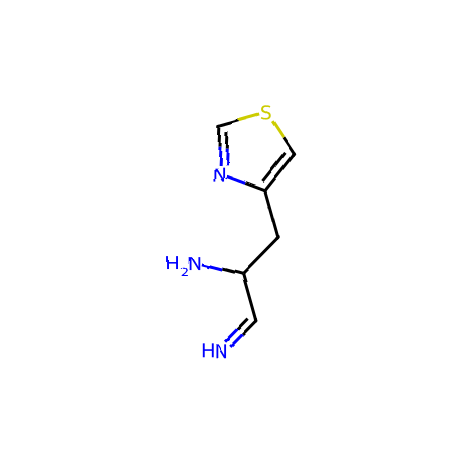 N=CC(N)Cc1cscn1